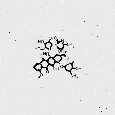 COc1cccc2c1C(=O)c1c(O)c3c(c(O)c1C2=O)C[C@@](O)(C(C)=O)C[C@@H]3OC1CC(N)C(O)C(C)O1.Nc1ccn([C@@H]2O[C@H](CO)[C@@H](O)[C@H]2O)c(=O)n1